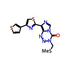 CSCn1nnc2c(-c3nc(-c4ccsc4)cs3)ncn2c1=O